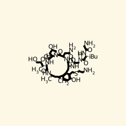 C=C1C[C@@H](C)NC(=O)[C@H](C(C)[C@@H](O)CO)NC(=O)[C@@H]2C[C@@H](O)CN2C(=O)C(CC(N)=O)NC(=O)[C@@H](NC(=O)CNC(=O)[C@@H](NC(=O)CN)[C@@H](C)CC)Cc2c1ccc(O)c2CSCCN